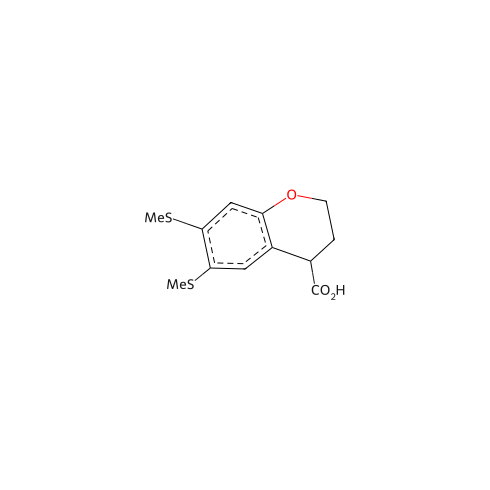 CSc1cc2c(cc1SC)C(C(=O)O)CCO2